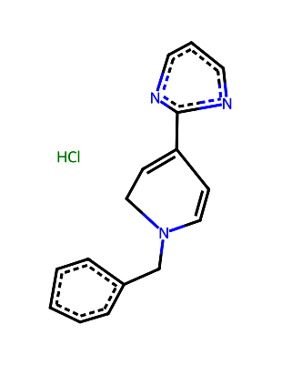 C1=CN(Cc2ccccc2)CC=C1c1ncccn1.Cl